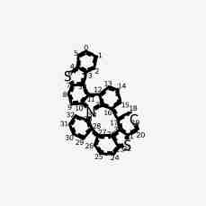 c1ccc2c(c1)sc1ccc3c(c4cccc5c6cccc7sc8cccc(c9ccccc9n3c54)c8c76)c12